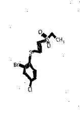 CCS(=O)(=O)C=CSc1ccc(Cl)cc1Br